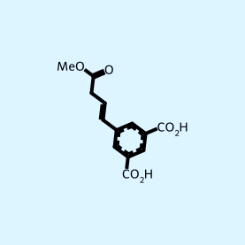 COC(=O)CC=Cc1cc(C(=O)O)cc(C(=O)O)c1